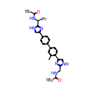 Cc1cc(-c2ccc(-c3c[nH]c(C(NC(=O)C(C)(C)C)C(C)C)n3)cc2)ccc1-c1c[nH]c(CNC(=O)C(C)(C)C)n1